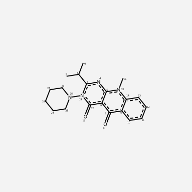 CC(C)c1nc2c(c(=O)c3ccccc3n2C)c(=O)n1N1CCCCC1